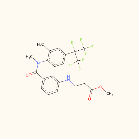 COC(=O)CCNc1cccc(C(=O)N(C)c2ccc(C(F)(C(F)(F)F)C(F)(F)F)cc2C)c1